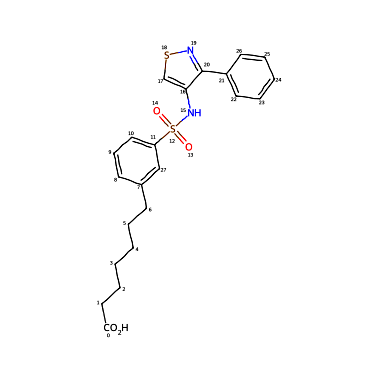 O=C(O)CCCCCCc1cccc(S(=O)(=O)Nc2csnc2-c2ccccc2)c1